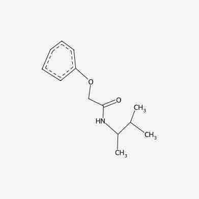 CC(C)C(C)NC(=O)COc1ccccc1